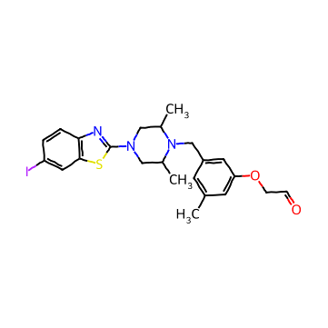 Cc1cc(CN2C(C)CN(c3nc4ccc(I)cc4s3)CC2C)cc(OCC=O)c1